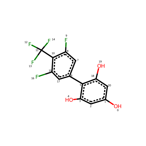 Oc1cc(O)c(-c2cc(F)c(C(F)(F)F)c(F)c2)c(O)c1